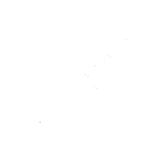 Cc1nc(N(C)C(=O)Cc2ccc(-c3cc(F)ccc3F)cc2)sc1/S(C)=N/C(=O)OC(C)(C)C